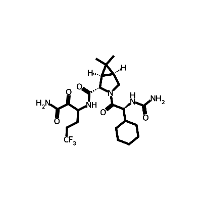 CC1(C)[C@@H]2[C@@H](C(=O)NC(CCC(F)(F)F)C(=O)C(N)=O)N(C(=O)[C@@H](NC(N)=O)C3CCCCC3)C[C@@H]21